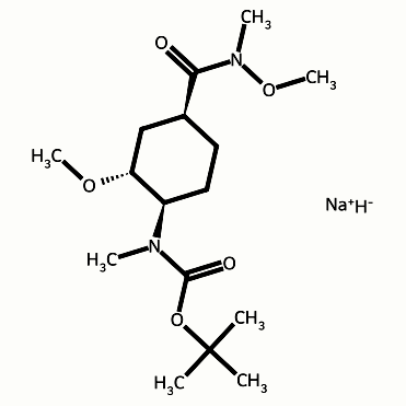 CO[C@@H]1C[C@@H](C(=O)N(C)OC)CC[C@H]1N(C)C(=O)OC(C)(C)C.[H-].[Na+]